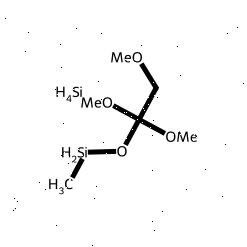 COCC(OC)(OC)O[SiH2]C.[SiH4]